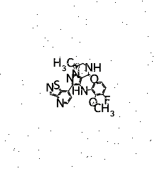 COc1c(F)cccc1Nc1c(-c2ccnc3cnsc23)nn2c1C(=O)NC[C@@H]2C